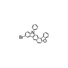 Brc1ccc2c(c1)c1cc3ccc4oc5ccccc5c4c3cc1n2-c1ccccc1